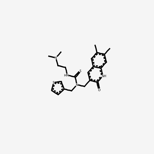 Cc1cc2cc(CN(Cc3ccsc3)C(=S)NCCN(C)C)c(=O)[nH]c2cc1C